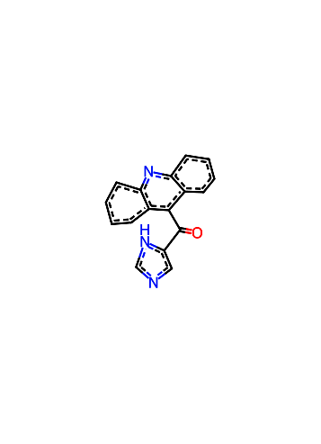 O=C(c1cnc[nH]1)c1c2ccccc2nc2ccccc12